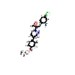 Fc1cc(Cl)ccc1CC1(c2ccc(-c3ccc(OC(F)(F)F)cc3)cn2)CO1